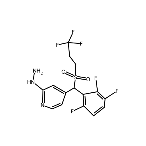 NNc1cc(C(c2c(F)ccc(F)c2F)S(=O)(=O)CCC(F)(F)F)ccn1